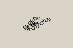 CN1CCN(CCCOc2cccc(Nc3nccc(-c4c(-c5cccc(NC(=O)Nc6ccccc6)c5)nc5sccn45)n3)c2)CC1